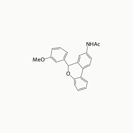 COc1cccc(C2Oc3ccccc3-c3ccc(NC(C)=O)cc32)c1